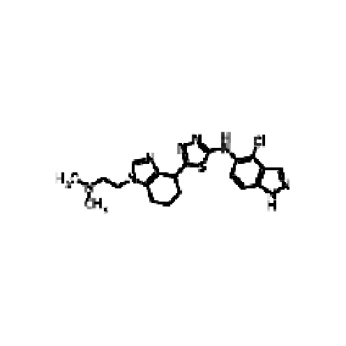 CN(C)CCn1cnc2c1CCCC2c1nnc(Nc2ccc3[nH]ncc3c2Cl)s1